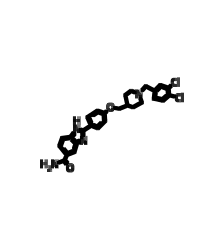 NC(=O)c1ccc2[nH]c(-c3ccc(OCC4CCN(Cc5ccc(Cl)c(Cl)c5)CC4)cc3)nc2c1